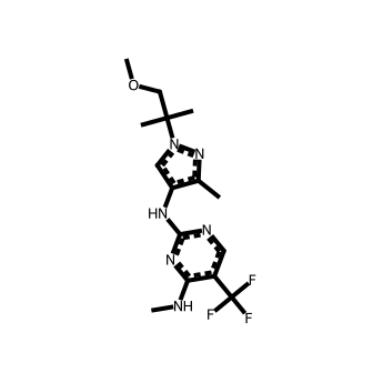 CNc1nc(Nc2cn(C(C)(C)COC)nc2C)ncc1C(F)(F)F